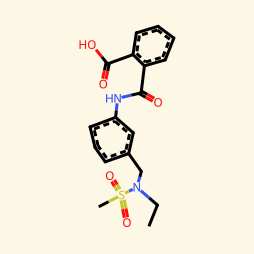 CCN(Cc1cccc(NC(=O)c2ccccc2C(=O)O)c1)S(C)(=O)=O